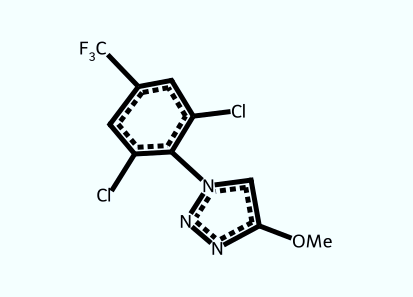 COc1cn(-c2c(Cl)cc(C(F)(F)F)cc2Cl)nn1